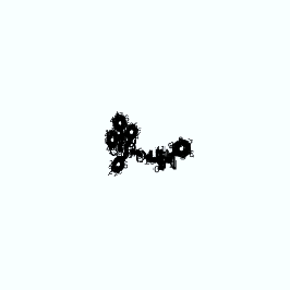 Cc1nc(-c2ccccc2)n(C)c1C=NOCCOC1(Cc2ccccc2)SC(=O)N(C(c2ccccc2)(c2ccccc2)c2ccccc2)C1=O